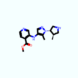 COC(=O)c1ccncc1Nc1cnn([C@@H]2CNC[C@H]2C)c1C